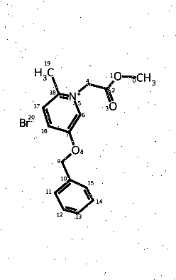 COC(=O)C[n+]1cc(OCc2ccccc2)ccc1C.[Br-]